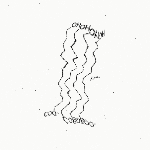 O=C([O-])CCCCCCCCCCCCCO.O=C([O-])CCCCCCCCCCCCCO.O=C([O-])CCCCCCCCCCCCCO.O=C([O-])CCCCCCCCCCCCCO.[Ti+4]